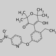 CCc1ccc(Oc2ccc([N+](=O)[O-])cn2)cc1C1=C(O)C(C)(C)OC(C)(C)C1=O